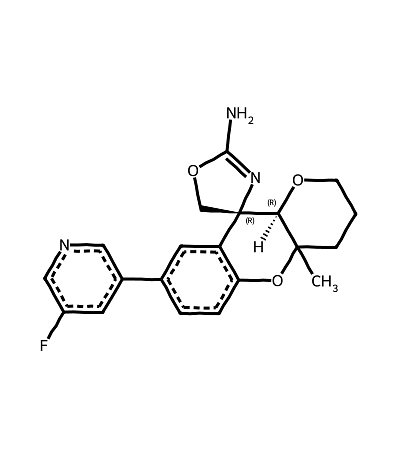 CC12CCCO[C@@H]1[C@]1(COC(N)=N1)c1cc(-c3cncc(F)c3)ccc1O2